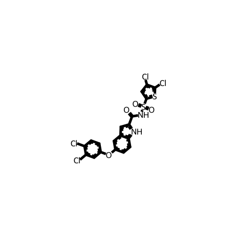 O=C(NS(=O)(=O)c1cc(Cl)c(Cl)s1)c1cc2cc(Oc3ccc(Cl)c(Cl)c3)ccc2[nH]1